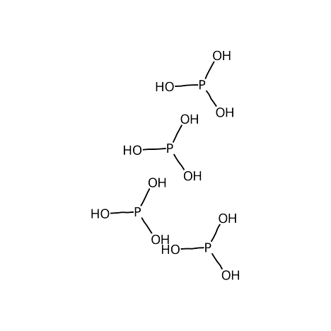 OP(O)O.OP(O)O.OP(O)O.OP(O)O